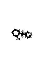 Brc1ccccc1C(Br)(Br)c1cnc[nH]1